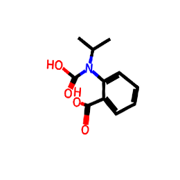 CC(C)N(C(=O)O)c1ccccc1C(=O)O